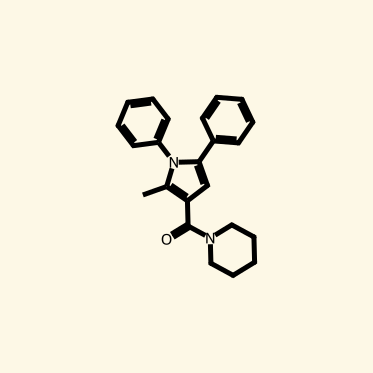 Cc1c(C(=O)N2CCCCC2)cc(-c2ccccc2)n1-c1ccccc1